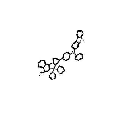 Fc1cc2c(c3ccccc13)-c1ccc(-c3ccc(N(c4ccccc4)c4ccc5c(c4)oc4ccccc45)cc3)cc1C2(c1ccccc1)c1ccccc1